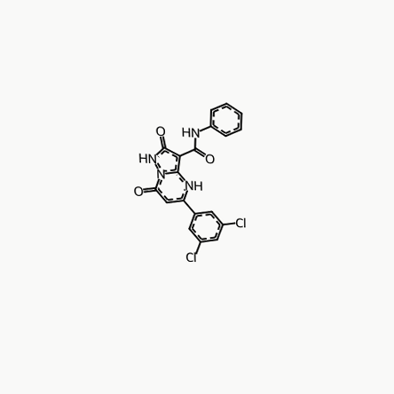 O=C(Nc1ccccc1)c1c(=O)[nH]n2c(=O)cc(-c3cc(Cl)cc(Cl)c3)[nH]c12